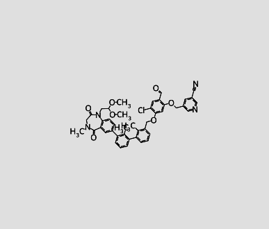 COC(CN1C(=O)CN(C)C(=O)c2cc(-c3cccc(-c4cccc(COc5cc(OCc6cncc(C#N)c6)c(C=O)cc5Cl)c4C)c3C)ccc21)OC